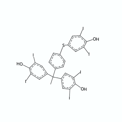 CC(c1ccc(Sc2cc(I)c(O)c(I)c2)cc1)(c1cc(I)c(O)c(I)c1)c1cc(I)c(O)c(I)c1